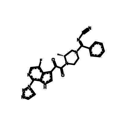 C[C@@H]1CN(C(=NC#N)c2ccccc2)CCN1C(=O)C(=O)c1c[nH]c2c(-n3ccnn3)ncc(F)c12